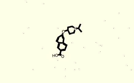 CC(C)N1CCC(Oc2ccc3cc(C(=O)O)ccc3c2)CC1